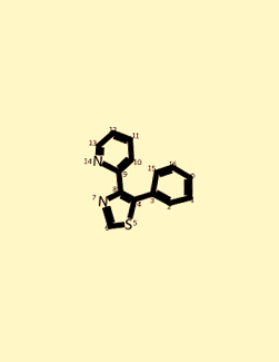 c1ccc(-c2scnc2-c2ccccn2)cc1